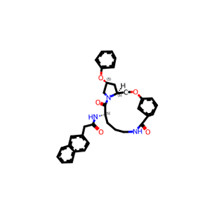 O=C(Cc1ccc2ccccc2c1)N[C@H]1CCCNC(=O)c2cccc(c2)OC[C@@H]2C[C@H](Oc3ccccc3)CN2C1=O